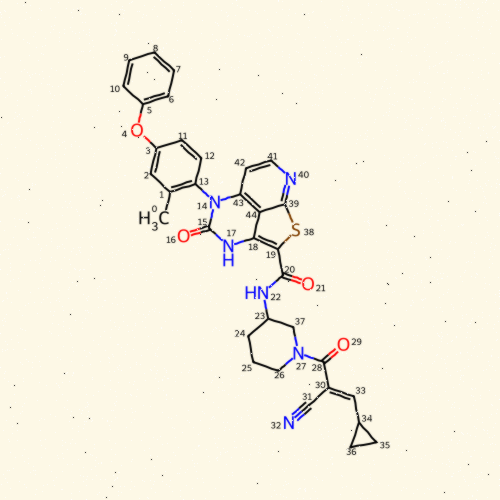 Cc1cc(Oc2ccccc2)ccc1N1C(=O)Nc2c(C(=O)NC3CCCN(C(=O)C(C#N)=CC4CC4)C3)sc3nccc1c23